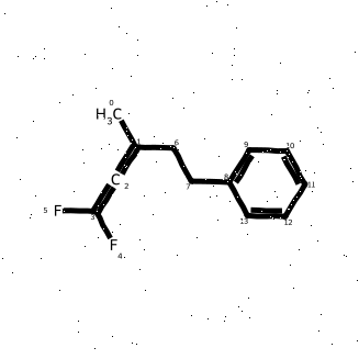 CC(=C=C(F)F)CCc1ccccc1